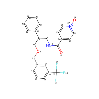 O=C(NCC(COCc1cccc(C(F)(F)F)c1)c1ccccc1)c1cc[n+]([O-])cc1